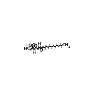 CCCCCCCCCCCCCC(=O)NCC(=O)NC(CO)C(=O)O